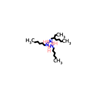 CCCCCCN1BN(CCCCCC)BN(CC(CC)CCCC)B1